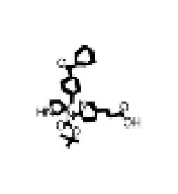 CC(C)(C)OC(=O)N(c1ccc(C=CC(=O)O)cn1)[C@]1(Cc2ccc(C(=O)c3ccccc3)cc2)CCNC1